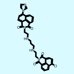 O=C1c2cccc3c(Cl)ccc(c23)C(=O)N1CCNCCCNCCN1C(=O)c2cccc3c(-n4ccnc4)ccc(c23)C1=O